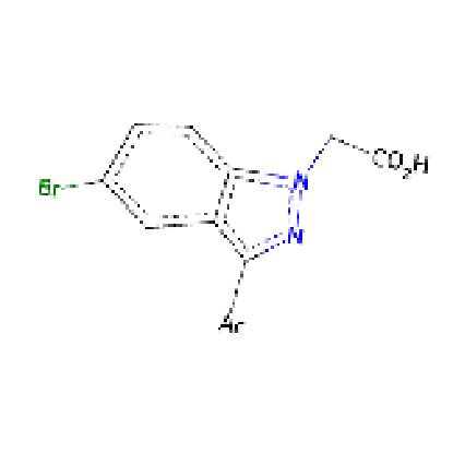 CC(=O)c1nn(CC(=O)O)c2ccc(Br)cc12